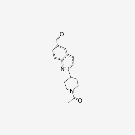 CC(=O)N1CCC(c2ccc3cc(C=O)ccc3n2)CC1